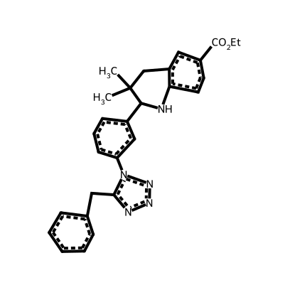 CCOC(=O)c1ccc2c(c1)CC(C)(C)C(c1cccc(-n3nnnc3Cc3ccccc3)c1)N2